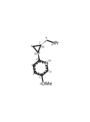 COc1ccc([C@H]2C[C@@H]2CC(C)C)nc1